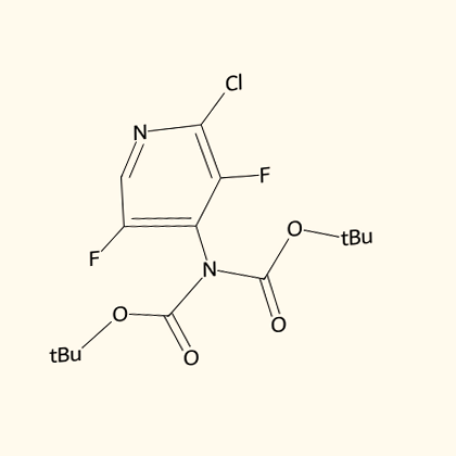 CC(C)(C)OC(=O)N(C(=O)OC(C)(C)C)c1c(F)cnc(Cl)c1F